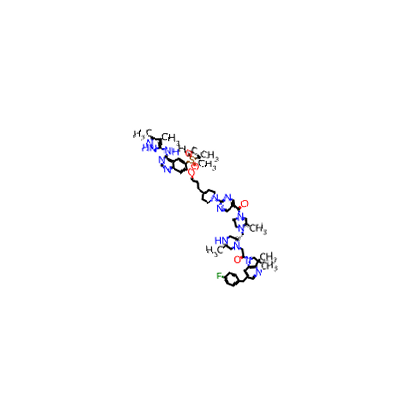 Cc1n[nH]c(Nc2ncnc3cc(OCCCC4CCN(c5ncc(C(=O)N6CCN(C[C@H]7CN[C@H](C)CN7CC(=O)N7CC(C)(C)c8ncc(Cc9ccc(F)cc9)cc87)[C@H](C)C6)cn5)CC4)c(S(=O)(=O)C(C)(C)C)cc23)c1C